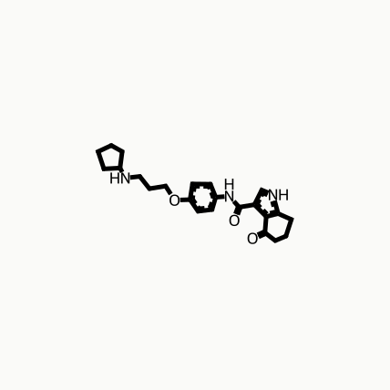 O=C(Nc1ccc(OCCCNC2CCCC2)cc1)c1c[nH]c2c1C(=O)CCC2